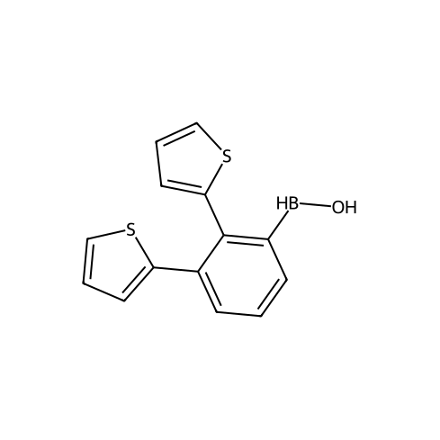 OBc1cccc(-c2cccs2)c1-c1cccs1